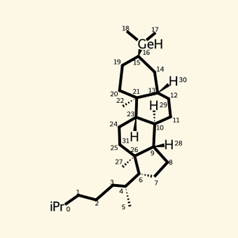 CC(C)CCC[C@@H](C)[C@H]1CC[C@H]2[C@@H]3CC[C@H]4C[C@H]([GeH]([CH3])[CH3])CC[C@]4(C)[C@H]3CC[C@]12C